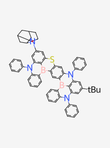 CC(C)(C)c1cc2c3c(c1)N(c1ccccc1)c1cc4c(cc1B3c1ccccc1N2c1ccccc1)B1c2ccccc2N(c2ccccc2)c2cc(N3C5CC6CC(C5)CC3C6)cc(c21)S4